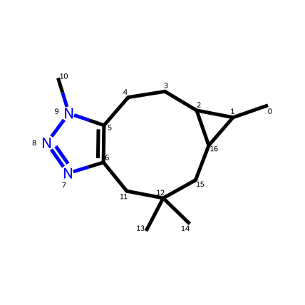 CC1C2CCc3c(nnn3C)CC(C)(C)CC12